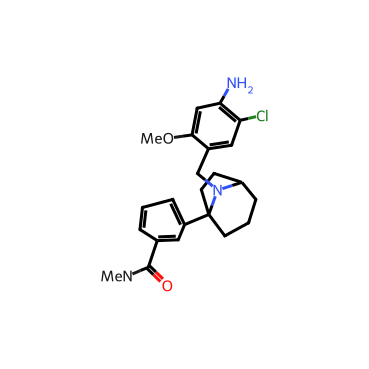 CNC(=O)c1cccc(C23CCCC(CC2)N3Cc2cc(Cl)c(N)cc2OC)c1